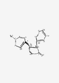 O=C1C[C@@H](c2ccc(Br)cc2)N1c1ccccc1